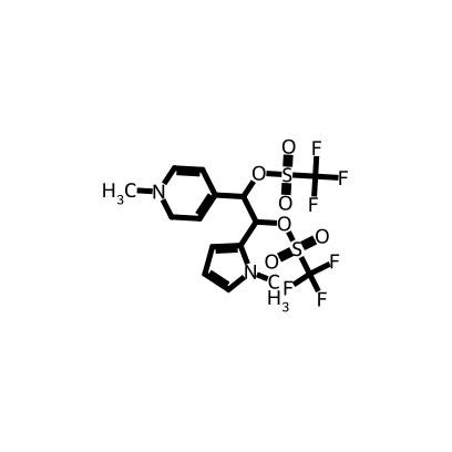 CN1C=CC(C(OS(=O)(=O)C(F)(F)F)C(OS(=O)(=O)C(F)(F)F)c2cccn2C)=CC1